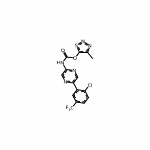 Cc1nnsc1OC(=O)Nc1cnc(-c2cc(C(F)(F)F)ccc2Cl)cn1